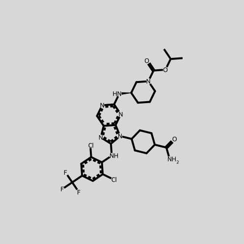 CC(C)OC(=O)N1CCC[C@@H](Nc2ncc3nc(Nc4c(Cl)cc(C(F)(F)F)cc4Cl)n(C4CCC(C(N)=O)CC4)c3n2)C1